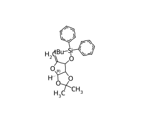 C=C1O[C@@H]2OC(C)(C)OC2C1O[Si](c1ccccc1)(c1ccccc1)C(C)(C)C